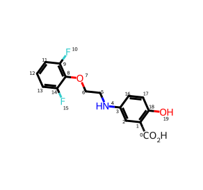 O=C(O)c1cc(NCCOc2c(F)cccc2F)ccc1O